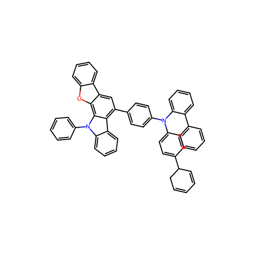 C1=CCC(c2ccc(N(c3ccc(-c4cc5c6ccccc6oc5c5c4c4ccccc4n5-c4ccccc4)cc3)c3ccccc3-c3ccccc3)cc2)C=C1